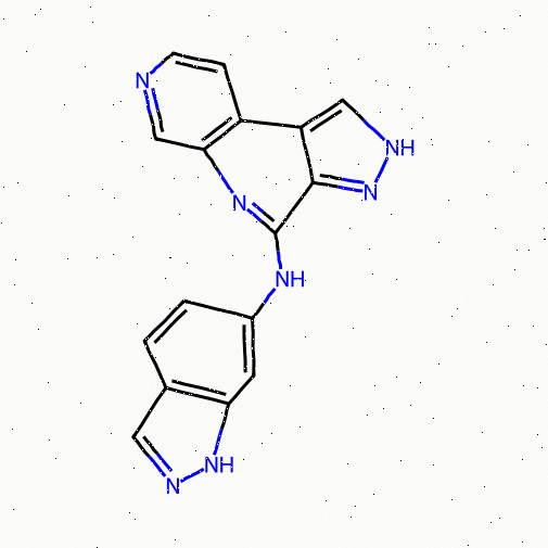 c1cc2c(cn1)nc(Nc1ccc3cn[nH]c3c1)c1n[nH]cc12